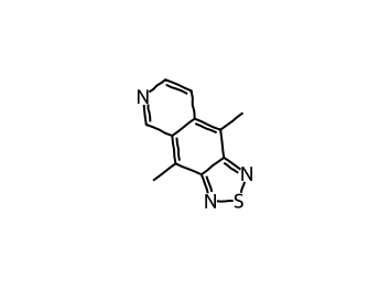 Cc1c2ccncc2c(C)c2nsnc12